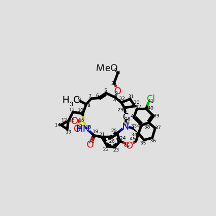 COCCOC1/C=C/CC(C)C(CC2CC2)S(=O)(=O)NC(=O)c2ccc3c(c2)N(CC2CCC21)C[C@@]1(CCCC2=CC(Cl)CC=C21)CO3